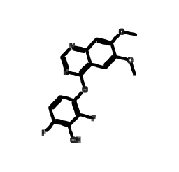 COc1cc2ncnc(Oc3ccc(F)c(O)c3F)c2cc1OC